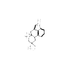 CN1C[C@@](C)(CO)CC2c3cccc4[nH]cc(c34)C[C@H]21